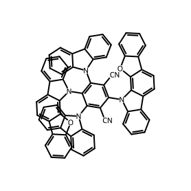 N#Cc1c(-n2c3ccccc3c3ccccc32)c(-n2c3ccccc3c3ccc4c5ccccc5oc4c32)c(-n2c3ccccc3c3ccccc32)c(C#N)c1-n1c2ccccc2c2ccc3c4ccccc4oc3c21